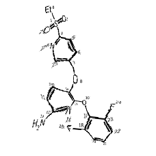 CCS(=O)(=O)c1ccc(Oc2ccc(N)nc2Oc2c(F)cccc2F)cn1